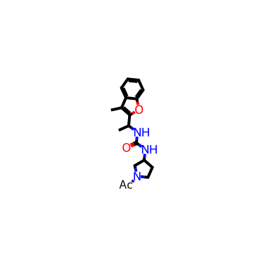 CC(=O)N1CCC(NC(=O)NC(C)c2oc3ccccc3c2C)C1